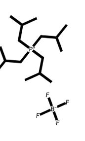 CC(C)C[P+](CC(C)C)(CC(C)C)CC(C)C.F[B-](F)(F)F